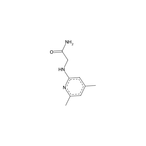 Cc1cc(C)nc(NCC(N)=O)c1